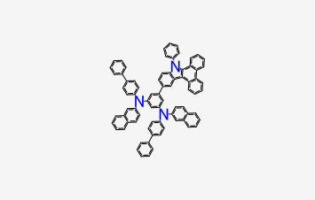 c1ccc(-c2ccc(N(c3cc(-c4ccc5c(c4)c4c6ccccc6c6ccccc6c4n5-c4ccccc4)cc(N(c4ccc(-c5ccccc5)cc4)c4ccc5ccccc5c4)c3)c3ccc4ccccc4c3)cc2)cc1